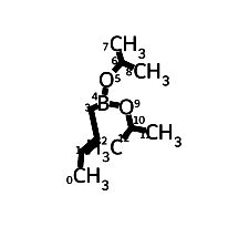 C/C=C/CB(OC(C)C)OC(C)C